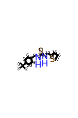 CC(C)(C)c1ccc(CNC(=S)NCc2cccs2)cc1